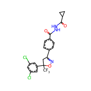 O=C(NNC(=O)C1CC1)c1ccc(C2=NOC(c3cc(Cl)cc(Cl)c3)(C(F)(F)F)C2)cc1